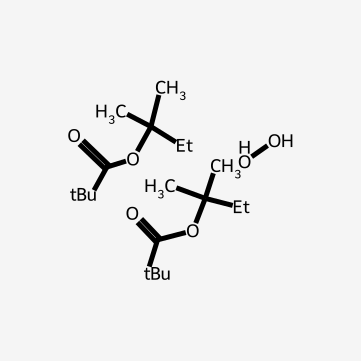 CCC(C)(C)OC(=O)C(C)(C)C.CCC(C)(C)OC(=O)C(C)(C)C.OO